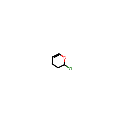 ClC1CCC=CO1